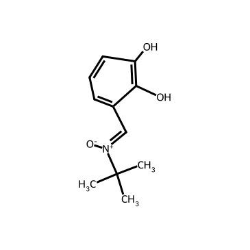 CC(C)(C)[N+]([O-])=Cc1cccc(O)c1O